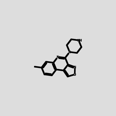 Cc1ccc2c(c1)nc(N1CCNCC1)c1nocc12